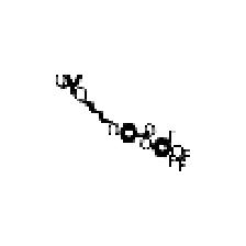 CCC1(COCCCCCCOc2ccc(C(=O)Oc3ccc(OC(F)(F)F)c(F)c3)cc2)COC1